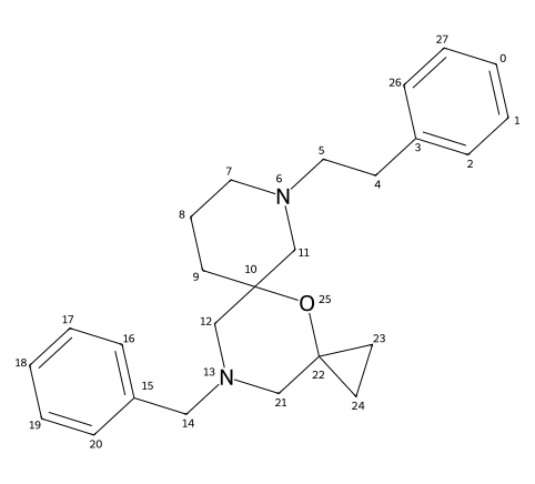 c1ccc(CCN2CCCC3(C2)CN(Cc2ccccc2)CC2(CC2)O3)cc1